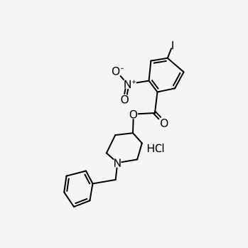 Cl.O=C(OC1CCN(Cc2ccccc2)CC1)c1ccc(I)cc1[N+](=O)[O-]